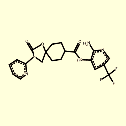 Nc1ncc(C(F)(F)F)cc1NC(=O)C1CCC2(CC1)CN(c1ccccn1)C(=O)O2